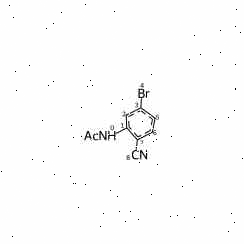 CC(=O)Nc1cc(Br)ccc1C#N